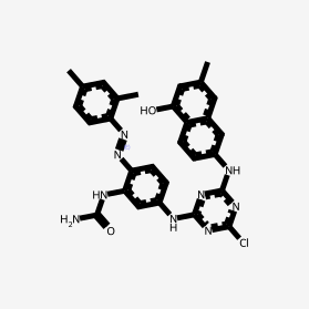 Cc1ccc(/N=N/c2ccc(Nc3nc(Cl)nc(Nc4ccc5c(O)cc(C)cc5c4)n3)cc2NC(N)=O)c(C)c1